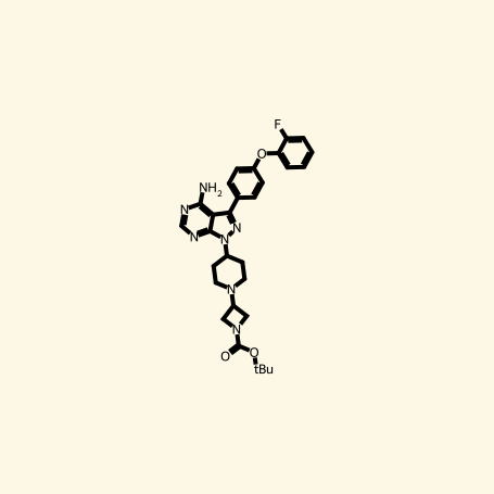 CC(C)(C)OC(=O)N1CC(N2CCC(n3nc(-c4ccc(Oc5ccccc5F)cc4)c4c(N)ncnc43)CC2)C1